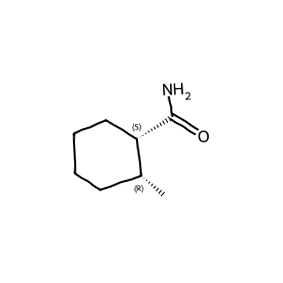 C[C@@H]1CCCC[C@@H]1C(N)=O